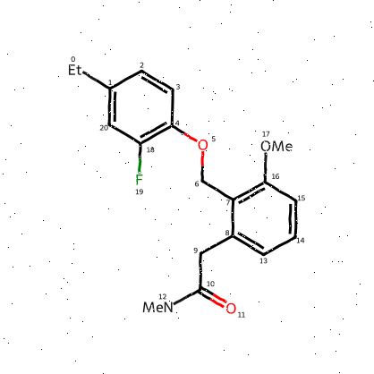 CCc1ccc(OCc2c(CC(=O)NC)cccc2OC)c(F)c1